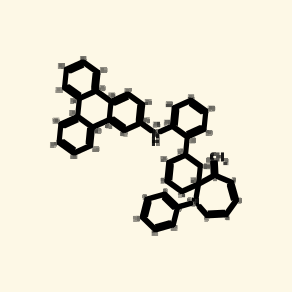 C=C1C=CC=CN(c2ccccc2)C12CC=CC(c1ccccc1Nc1ccc3c4ccccc4c4ccccc4c3c1)C2